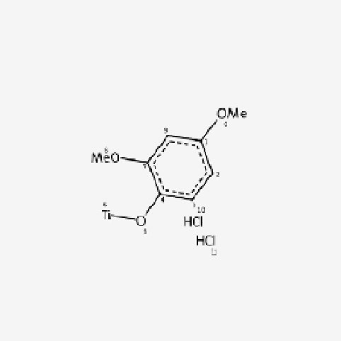 COc1ccc([O][Ti])c(OC)c1.Cl.Cl